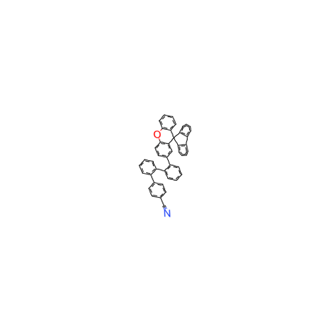 N#Cc1ccc(-c2ccccc2-c2ccccc2-c2ccc3c(c2)C2(c4ccccc4O3)c3ccccc3-c3ccccc32)cc1